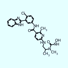 Cc1nc(NCC(C)N(C)C(=O)NO)ccc1C(=O)Nc1ccc(Cl)c(-c2nc3ccccc3[nH]2)c1